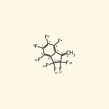 C=C1c2c(F)c(F)c(F)c(F)c2C(F)(F)C1(F)F